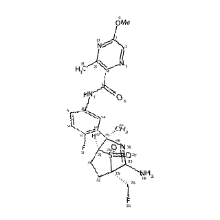 COc1cnc(C(=O)Nc2ccc(F)c([C@@]3(C)N=C(N)[C@@]4(CF)CC[C@@H]3S4(=O)=O)c2)c(C)n1